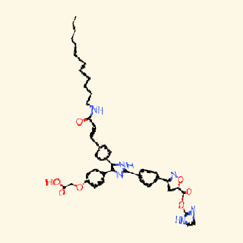 CCCCCCCCCCCCNC(=O)C=Cc1ccc(-c2[nH]c(-c3ccc(C4=NOC(C(=O)Oc5ncc[nH]5)C4)cc3)nc2-c2ccc(OCC(=O)O)cc2)cc1